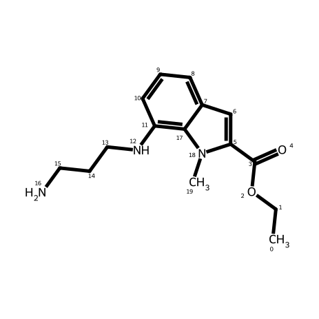 CCOC(=O)c1cc2cccc(NCCCN)c2n1C